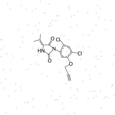 C#CCOc1cc(N2C(=O)NC(=C(C)C)C2=O)c(Cl)cc1Cl